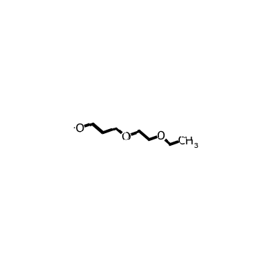 CCOCCOCCC[O]